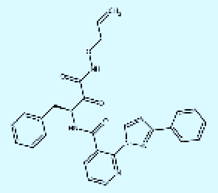 C=CCONC(=O)C(=O)[C@H](Cc1ccccc1)NC(=O)c1cccnc1-n1ccc(-c2ccccc2)n1